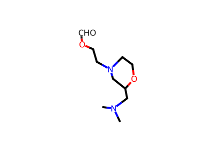 CN(C)CC1CN(CCOC=O)CCO1